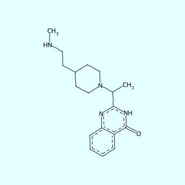 CNCCC1CCN(C(C)c2nc3ccccc3c(=O)[nH]2)CC1